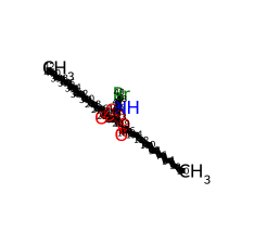 CCCCCCCCC=CCCCCCCCC(=O)OCC(COC(=O)CCCCCCCC=CCCCCCCCC)OC(=O)NCCBr